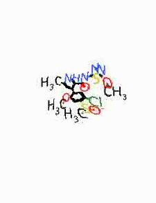 COc1nnc(NC(=O)c2cnc(C)cc2-c2cc(Cl)c([S@@+](C)[O-])cc2OC)s1